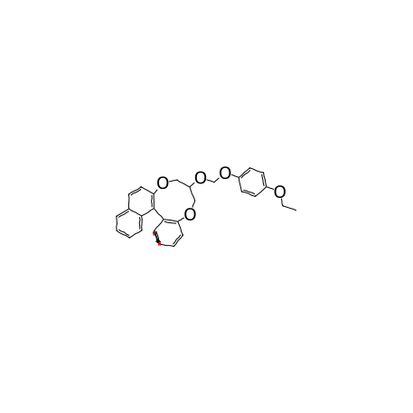 CCOc1ccc(OCOC2COc3ccc4ccccc4c3-c3c(ccc4ccccc34)OC2)cc1